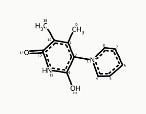 Cc1c(-[n+]2ccccc2)c(O)[nH]c(=O)c1C